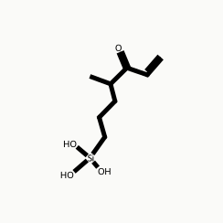 C=CC(=O)C(C)CCC[Si](O)(O)O